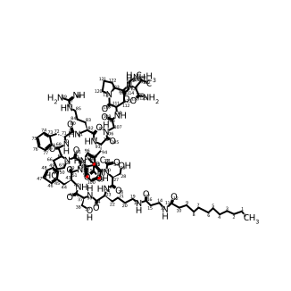 CCCCCCCCCCCC(=O)NCCC(=O)NCCCC[C@H](NC(=O)[C@H](CO)NC(C)=O)C(=O)N[C@@H](CO)C(=O)N[C@@H](Cc1ccccc1)C(=O)N[C@@H](CCC(=O)O)C(=O)N1C[C@H](O)CC1C(=O)N[C@H](Cc1ccccc1)C(=O)N[C@@H](CCCNC(=N)N)C(=O)N[C@@H](Cc1c[nH]c2ccccc12)C(=O)NCC(=O)NC(CCCCN)C(=O)N1CCCC1C(=O)N[C@H](C(N)=O)C(C)C